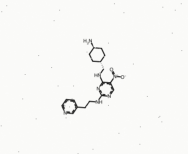 N[C@H]1CC[C@H](CNc2nc(NCCc3cccnc3)ncc2[N+](=O)[O-])CC1